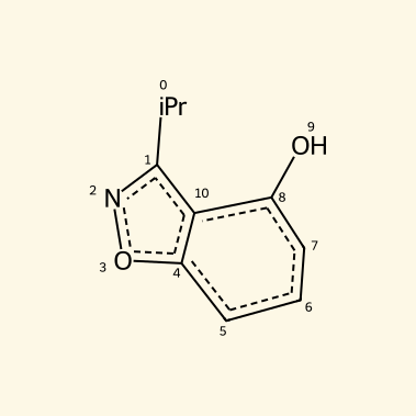 CC(C)c1noc2cccc(O)c12